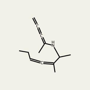 C=C=C=C(C)NC(C)C(C)=C=CCC